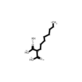 CCCCCCCCC(C(=O)O)C(=O)O.[KH]